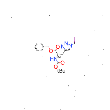 CC(C)(C)OC(=O)N[C@@H](Cc1cn(CI)nn1)C(=O)OCc1ccccc1